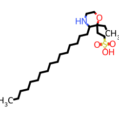 CCCCCCCCCCCCCCCCC1NCCOC1(CC)CCS(=O)(=O)O